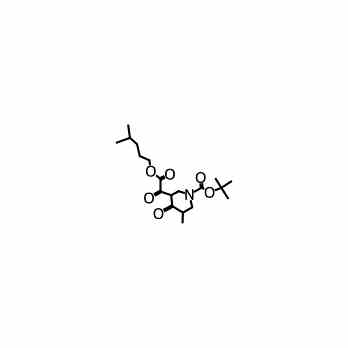 CC(C)CCCOC(=O)C(=O)C1CN(C(=O)OC(C)(C)C)CC(C)C1=O